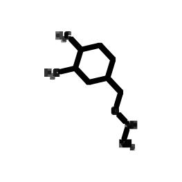 CC1CCC(CONN)CC1C